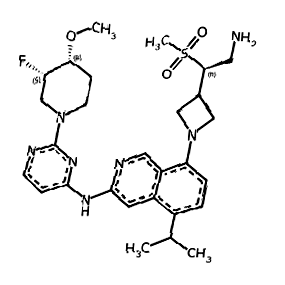 CO[C@@H]1CCN(c2nccc(Nc3cc4c(C(C)C)ccc(N5CC([C@H](CN)S(C)(=O)=O)C5)c4cn3)n2)C[C@@H]1F